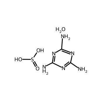 Nc1nc(N)nc(N)n1.O.O=S(O)O